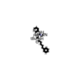 Cc1ncccc1N/C(=N\C#N)NC(NC(=O)CCCCc1ccccc1)C(C)(C)C